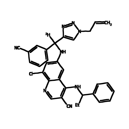 [2H]C(Nc1cc(Cl)c2ncc(C#N)c(NC(CC)c3ccccc3)c2c1)(c1cccc(C#N)c1)c1cn(CC=C)nn1